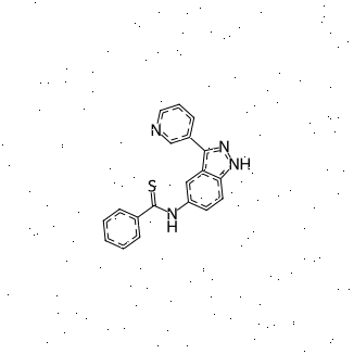 S=C(Nc1ccc2[nH]nc(-c3cccnc3)c2c1)c1ccccc1